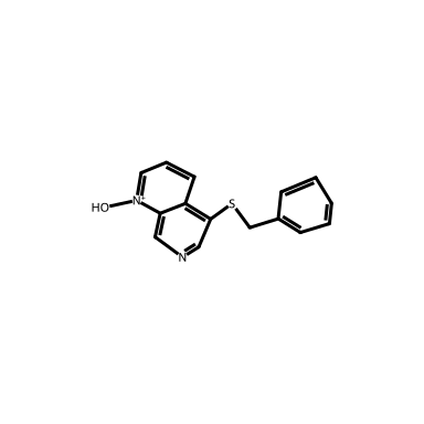 O[n+]1cccc2c(SCc3ccccc3)cncc21